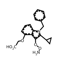 NOOc1c(C2CC2)n(Cc2ccccc2)c2cccc(OCC(=O)O)c12